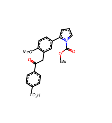 COc1ccc(-c2cccn2C(=O)OC(C)(C)C)cc1CC(=O)c1ccc(C(=O)O)cc1